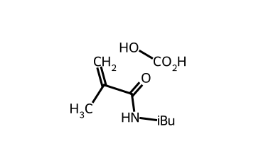 C=C(C)C(=O)NC(C)CC.O=C(O)O